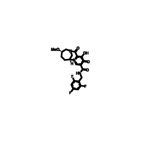 CO[C@H]1CC[C@H]2CN(C1)C(=O)c1c(O)c(=O)c(C(=O)NCc3c(F)cc(F)cc3F)cn12